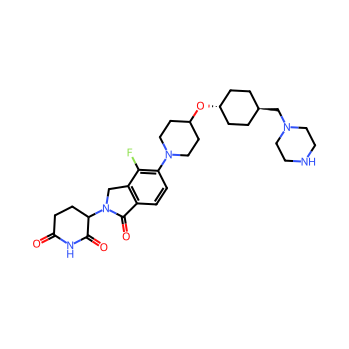 O=C1CCC(N2Cc3c(ccc(N4CCC(O[C@H]5CC[C@H](CN6CCNCC6)CC5)CC4)c3F)C2=O)C(=O)N1